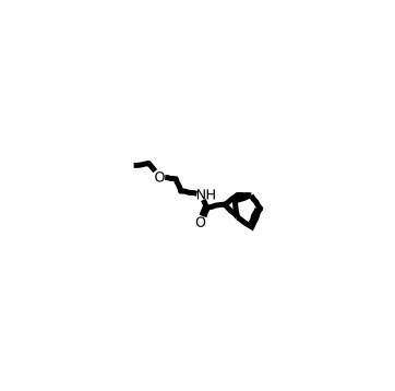 CCOCCNC(=O)C1CC2C=CC1C2